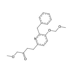 COCOc1ccc(CCC(=O)COC)nc1Cc1ccccc1